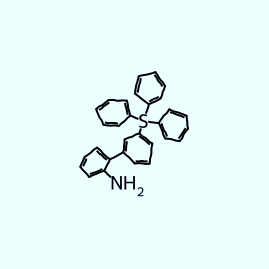 Nc1ccccc1-c1cccc(S(c2ccccc2)(c2ccccc2)c2ccccc2)c1